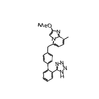 COc1cn2c(Cc3ccc(-c4ccccc4-c4nnn[nH]4)cc3)ccc(C)c2n1